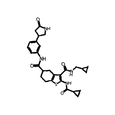 O=C1CC(c2cccc(NC(=O)C3CCc4sc(NC(=O)C5CC5)c(C(=O)NCC5CC5)c4C3)c2)CN1